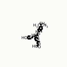 CC(C)(C)[C@H]1CCc2nc3sc(C(=O)N[C@H](CCN4CCC(O)CC4)c4ccc(-c5csc(C(=O)O)c5)nc4)nc3cc2C1